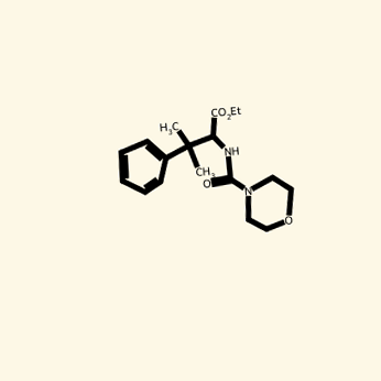 CCOC(=O)C(NC(=O)N1CCOCC1)C(C)(C)c1ccccc1